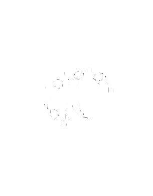 CC(C)C(=O)c1ncc(Oc2ccc(C(C)(C)c3ccc(O[C@H]4C[C@H](Nc5ccc6c(c5)C(=O)N(C5CCC(=O)NC5=O)C6=O)C4)cc3)cc2)cn1